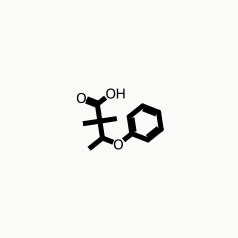 CC(Oc1ccccc1)C(C)(C)C(=O)O